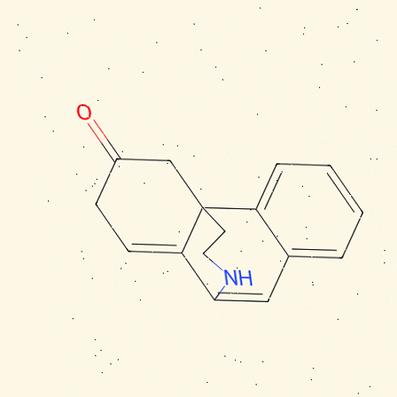 O=C1CC=C2C3=Cc4ccccc4C2(CCN3)C1